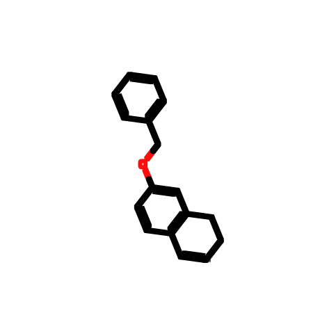 [C]1=Cc2ccc(OCc3ccccc3)cc2CC1